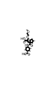 COCCOC/C(=C\C1(C(=O)N[C@H]2CC[C@@H](C(=O)O)CC2)CCCC1)C(=O)O